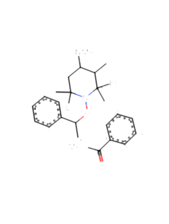 CCC1(C)CC(NC)C(C)C(C)(CC)N1OC(C)c1ccccc1.COC(=O)c1ccccc1